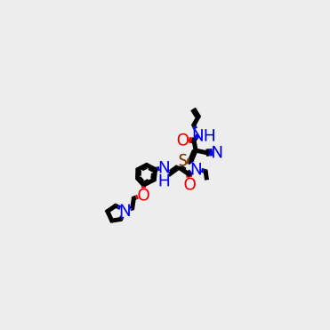 C=CCNC(=O)C(C#N)=c1sc(=CNc2cccc(OCCN3CCCC3)c2)c(=O)n1CC